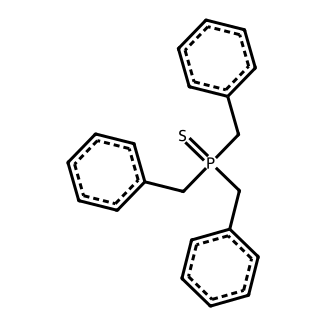 S=P(Cc1ccccc1)(Cc1ccccc1)Cc1ccccc1